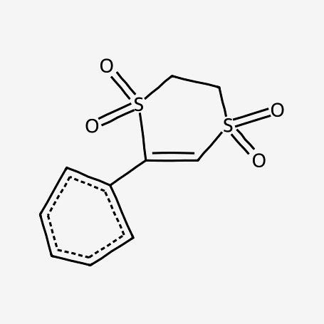 O=S1(=O)C=C(c2ccccc2)S(=O)(=O)CC1